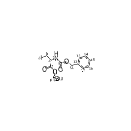 CC(C)(C)OC(=O)C(CI)NC(=O)OCc1ccccc1